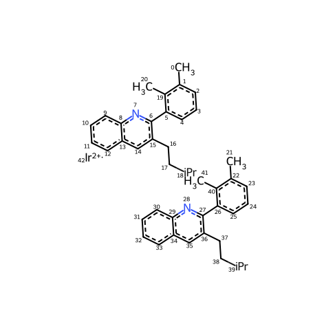 Cc1cccc(-c2nc3ccccc3cc2CCC(C)C)c1C.Cc1cccc(-c2nc3ccccc3cc2CCC(C)C)c1C.[Ir+2]